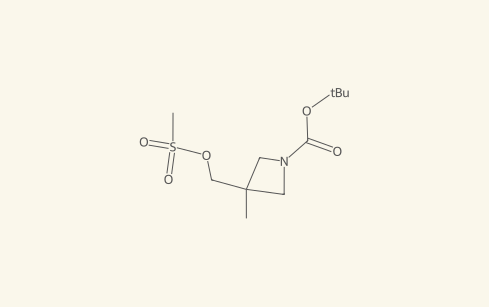 CC1(COS(C)(=O)=O)CN(C(=O)OC(C)(C)C)C1